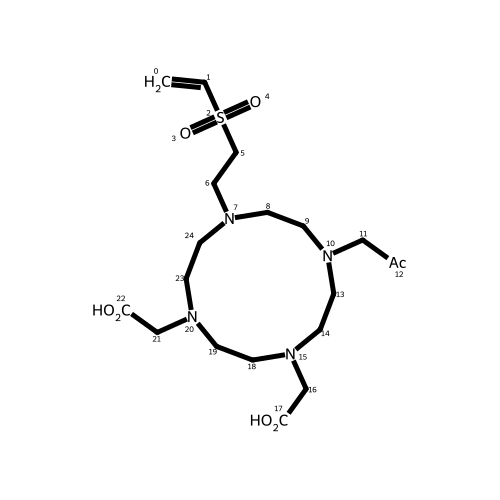 C=CS(=O)(=O)CCN1CCN(CC(C)=O)CCN(CC(=O)O)CCN(CC(=O)O)CC1